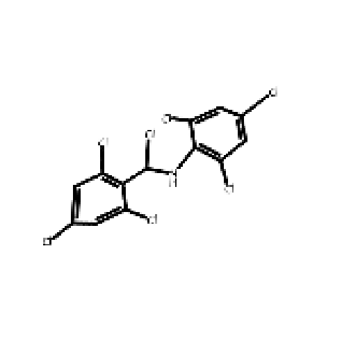 Clc1cc(Cl)c(NC(Cl)c2c(Cl)cc(Cl)cc2Cl)c(Cl)c1